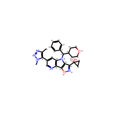 Cc1nnn(C)c1-c1cnc2c3onc(C4(O)CC4)c3n(C(c3ccccc3)C3CCOCC3)c2c1